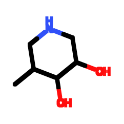 CC1CNCC(O)C1O